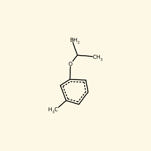 BC(C)Oc1cccc(C)c1